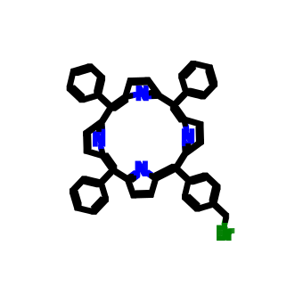 BrCc1ccc(C2=C3C=CC(=N3)C(c3ccccc3)=C3C=CC(=N3)C(c3ccccc3)=C3C=CC(=N3)C(c3ccccc3)=C3C=CC2=N3)cc1